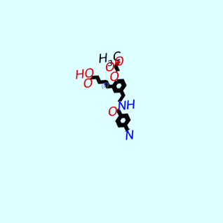 COC(=O)COc1ccc(CCNC(=O)c2ccc(C#N)cc2)cc1/C=C/CCC(=O)O